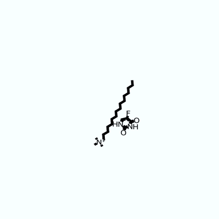 CCCCCCCCCCCCCCCC[N+](C)(C)C.O=c1[nH]cc(F)c(=O)[nH]1